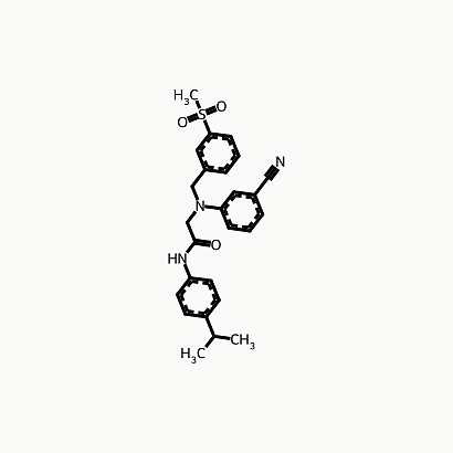 CC(C)c1ccc(NC(=O)CN(Cc2cccc(S(C)(=O)=O)c2)c2cccc(C#N)c2)cc1